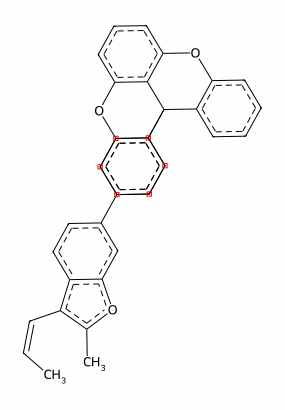 C/C=C\c1c(C)oc2cc(-c3ccc(C45c6ccccc6Oc6cccc(c64)Oc4ccccc45)cc3)ccc12